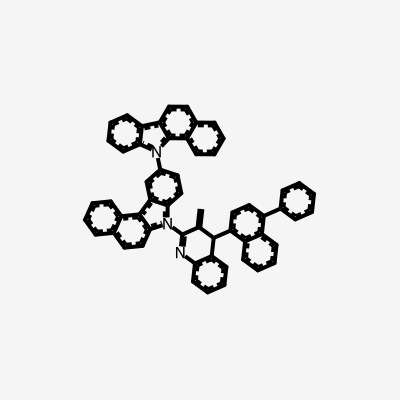 C=C1C(n2c3ccc(-n4c5ccccc5c5ccc6ccccc6c54)cc3c3c4ccccc4ccc32)=Nc2ccccc2C1c1ccc(-c2ccccc2)c2ccccc12